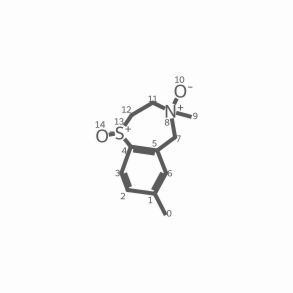 Cc1ccc2c(c1)C[N+](C)([O-])CC[S+]2[O-]